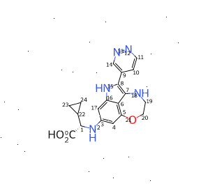 O=C(O)[C@@H](Nc1cc2c3c(c(-c4ccnnc4)[nH]c3c1)NCCO2)C1CC1